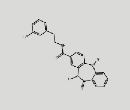 CCN1C(=O)c2ccccc2[S+]([O-])c2ccc(C(=O)NCCc3cccc(C)c3)cc21